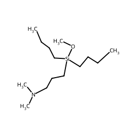 CCCC[Si](CCCC)(CCCN(C)C)OC